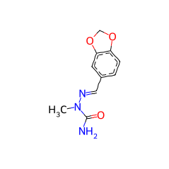 CN(N=Cc1ccc2c(c1)OCO2)C(N)=O